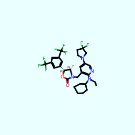 CCN(c1ncc(N2CCC(F)(F)C2)cc1CN1C(=O)O[C@H](c2cc(C(F)(F)F)cc(C(F)(F)F)c2)[C@@H]1C)C1CCCCC1